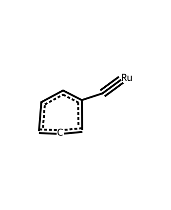 [Ru]#[C]c1ccccc1